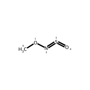 CON=S=O